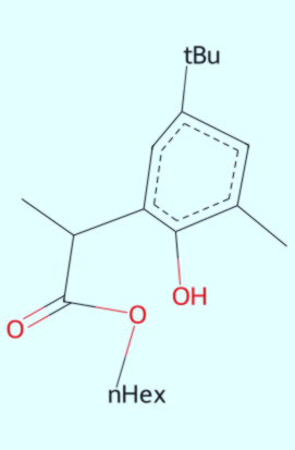 CCCCCCOC(=O)C(C)c1cc(C(C)(C)C)cc(C)c1O